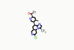 CCC(=O)c1cc(C)c(-c2cc3cnc(Cl)cc3n3c(C(F)(F)F)cnc23)cn1